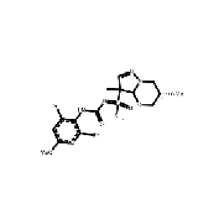 CN[C@@H]1COC2N(C1)N=CC2(C)S(N)(=O)=NC(=O)Nc1c(C(C)C)cc(OC)nc1C(C)C